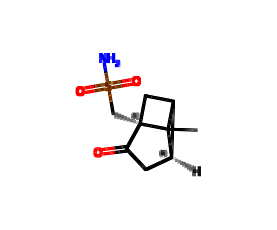 CC12C3C[C@]1(CS(N)(=O)=O)C(=O)C[C@H]32